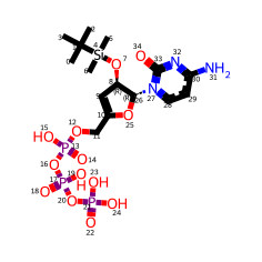 CC(C)(C)[Si](C)(C)O[C@@H]1C=C(COP(=O)(O)OP(=O)(O)OP(=O)(O)O)O[C@H]1n1ccc(N)nc1=O